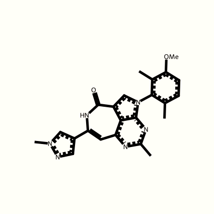 COc1ccc(C)c(-n2cc3c4c(nc(C)nc42)C=C(c2cnn(C)c2)NC3=O)c1C